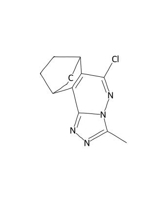 Cc1nnc2c3c(c(Cl)nn12)C1CCC3CC1